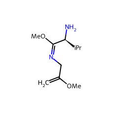 C=C(C/N=C(/OC)[C@@H](N)C(C)C)OC